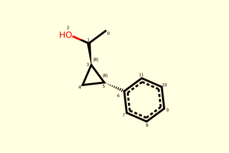 CC(O)[C@@H]1C[C@H]1c1ccccc1